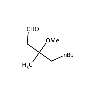 CCCCCC(C)(CC=O)OC